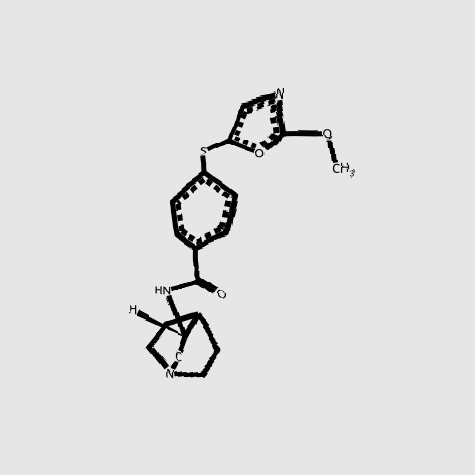 COc1ncc(Sc2ccc(C(=O)N[C@H]3CN4CCC3CC4)cc2)o1